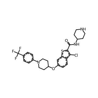 O=C(NC1CCNCC1)c1sc2cc(OC3CCN(c4ccc(C(F)(F)F)cc4)CC3)ccc2c1Cl